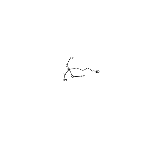 CC(C)O[Si](CCC[C]=O)(OC(C)C)OC(C)C